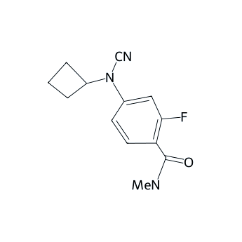 CNC(=O)c1ccc(N(C#N)C2CCC2)cc1F